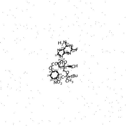 C#C[C@]1(CO[Si](C)(C)C(C)(C)C)O[C@@H](n2cnc3c(N)nc(F)nc32)C[C@H]1c1cc([N+](=O)[O-])ccc1OC(=O)O